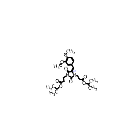 COc1ccc(/C=C2\C(=O)N(CCC(=O)OC(C)C)C(=O)N2CCC(=O)OC(C)C)cc1OC